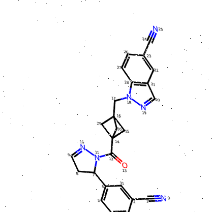 N#Cc1cccc(C2CC=NN2C(=O)C23CC(Cn4ncc5cc(C#N)ccc54)(C2)C3)c1